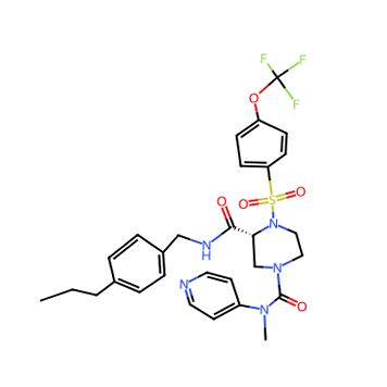 CCCc1ccc(CNC(=O)[C@H]2CN(C(=O)N(C)c3ccncc3)CCN2S(=O)(=O)c2ccc(OC(F)(F)F)cc2)cc1